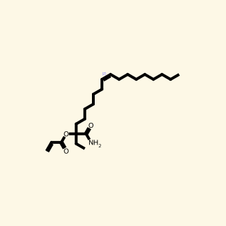 C=CC(=O)OC(CC)(CCCCCC/C=C\CCCCCCCC)C(N)=O